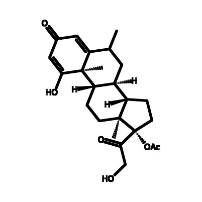 CC(=O)O[C@@]1(C(=O)CO)CC[C@H]2[C@@H]3CC(C)C4=CC(=O)C=C(O)[C@]4(C)[C@H]3CC[C@@]21C